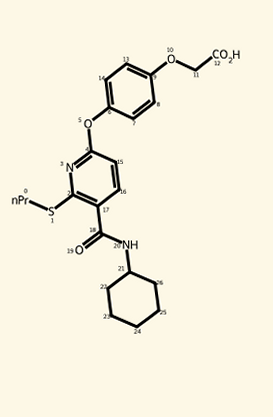 CCCSc1nc(Oc2ccc(OCC(=O)O)cc2)ccc1C(=O)NC1CCCCC1